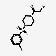 O=C(CBr)N1CCN(S(=O)(=O)c2cccc(Br)c2)CC1